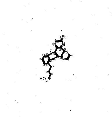 CCc1cnc2c3c(c4nccnc4c2n1)Sc1c(CCCS(=O)(=O)O)cccc1N3